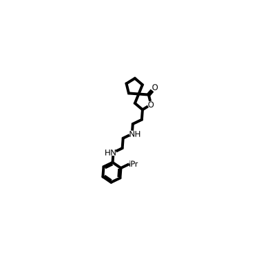 CC(C)c1ccccc1NCCNCCC1CC2(CCCC2)C(=O)O1